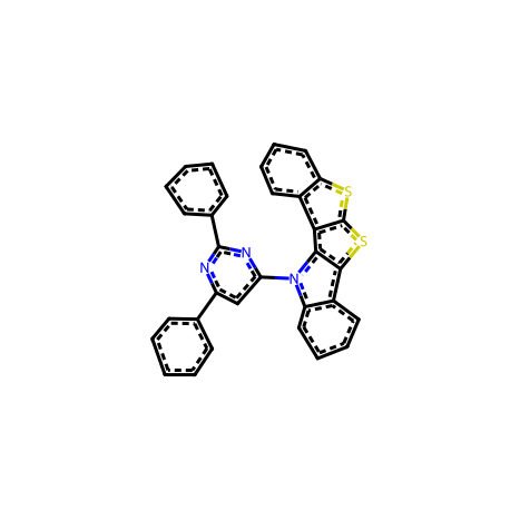 c1ccc(-c2cc(-n3c4ccccc4c4sc5sc6ccccc6c5c43)nc(-c3ccccc3)n2)cc1